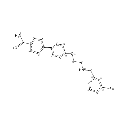 NC(=O)c1ccc(-c2ccc(OCCNCc3cccc(F)c3)cc2)cc1